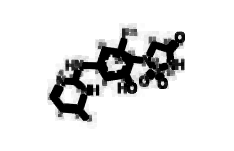 CC1=CC=NC(Nc2cc(O)c(N3CC(=O)NS3(=O)=O)c(F)c2)N1